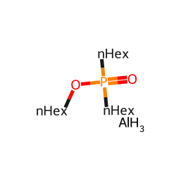 CCCCCCOP(=O)(CCCCCC)CCCCCC.[AlH3]